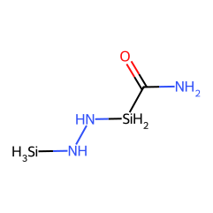 NC(=O)[SiH2]NN[SiH3]